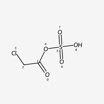 O=C(CCl)OS(=O)(=O)O